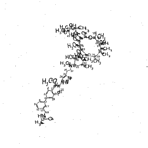 CO[C@H](c1ccc(-c2cccc(CNC(C)=O)c2)cc1)[C@@H](CF)n1cc(CCN(C)[C@H]2C[C@@H](C)O[C@@H](O[C@@H]3[C@@H](C)[C@H](O[C@H]4C[C@@](C)(OC)[C@@H](O)[C@H](C)O4)[C@@H](C)C(=O)O[C@H](I)[C@@](C)(O)[C@H](O)[C@@H](C)N(C)C[C@H](C)C[C@@]3(C)O)[C@@H]2O)nn1